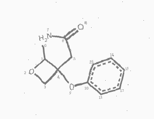 CC1OCC1(CC(N)=O)Oc1ccccc1